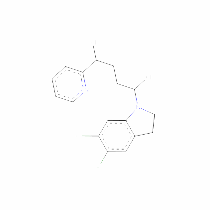 CC(CCC(C)N1CCc2cc(F)c(Cl)cc21)c1ccccn1